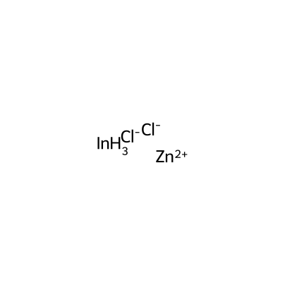 [Cl-].[Cl-].[InH3].[Zn+2]